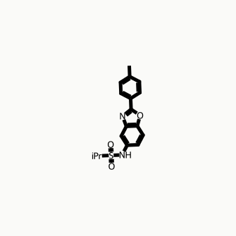 Cc1ccc(-c2nc3cc(NS(=O)(=O)C(C)C)ccc3o2)cc1